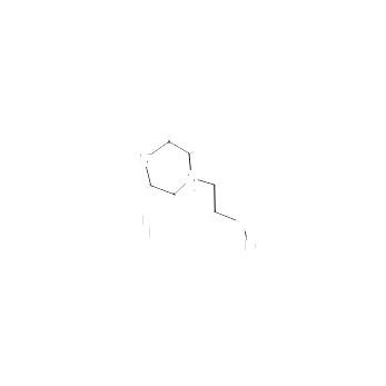 CCOCCN1CCNCC1.Cl.Cl